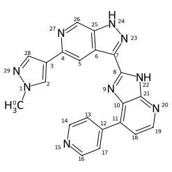 Cn1cc(-c2cc3c(-c4nc5c(-c6ccncc6)ccnc5[nH]4)n[nH]c3cn2)cn1